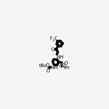 CC(C)S(=O)(=O)CC1CC(NC(=O)OC(C)(C)C)CCC1NCCC(=O)c1cccc(C(F)(F)F)c1